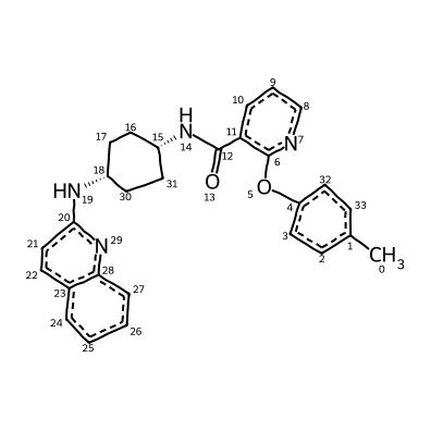 Cc1ccc(Oc2ncccc2C(=O)N[C@H]2CC[C@@H](Nc3ccc4ccccc4n3)CC2)cc1